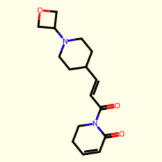 O=C1C=CCCN1C(=O)C=CC1CCN(C2COC2)CC1